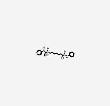 N=C(NCCCCCCC(=O)NOc1ccccc1)Nc1ccncc1